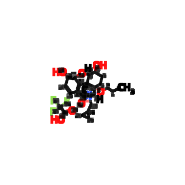 CCCO[C@@]12CC[C@H](O)[C@@H]3Oc4c(O)ccc5c4[C@@]31CC[N+]([O-])(CC1CC1)[C@@H]2C5.O=C(O)C(F)(F)F